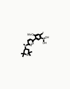 COc1cc(F)c(B(O)O)cc1-c1ccc(N(C)C2CC(C)(C)NC(C)(C)C2)nn1